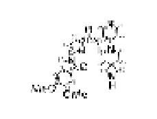 COc1cc2c(cc1OC)C(=O)N(c1ccc(C(=O)Nc3cnccc3N3CCC4(CC3)CNC4)o1)C2